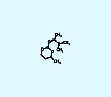 CC1CCOB(O[C@@H](C)N(C)C)O1